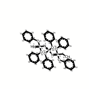 CCP(=NP(=NP(=N)(Oc1ccccc1)Oc1ccccc1)(Oc1ccccc1)Oc1ccccc1)(Oc1ccccc1)Oc1ccccc1